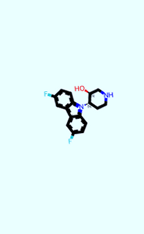 O[C@H]1CNCC[C@@H]1n1c2ccc(F)cc2c2cc(F)ccc21